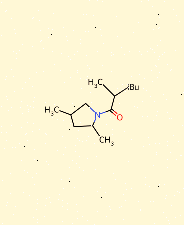 CCC(C)C(C)C(=O)N1CC(C)CC1C